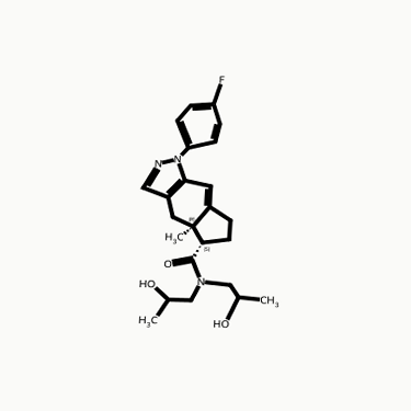 CC(O)CN(CC(C)O)C(=O)[C@H]1CCC2=Cc3c(cnn3-c3ccc(F)cc3)C[C@@]21C